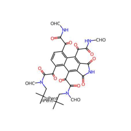 CCCCCC(C)(C)CN(C=O)C(=O)C(=O)c1ccc(C(=O)C(=O)NC=O)c2c(C(=O)C(=O)NC=O)c3c(c(C(=O)C(=O)N(C=O)CC(C)(C)CCCCC)c12)C(=O)NC3=O